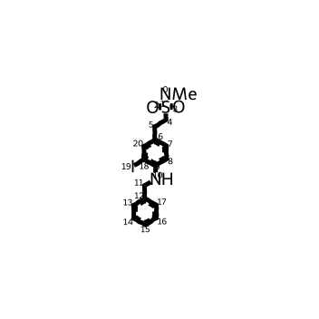 CNS(=O)(=O)CCc1ccc(NCc2ccccc2)c(I)c1